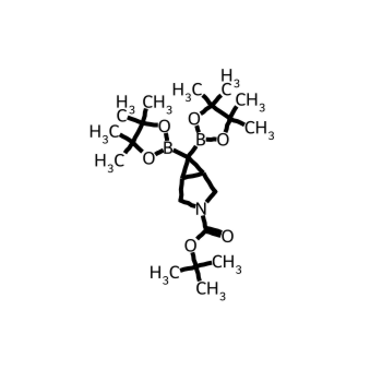 CC(C)(C)OC(=O)N1CC2C(C1)C2(B1OC(C)(C)C(C)(C)O1)B1OC(C)(C)C(C)(C)O1